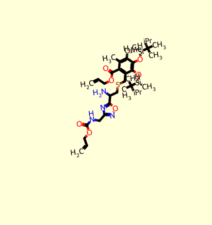 C=CCOC(=O)NCc1noc(C(N)CSCc2c(O[SiH](C)C(C)(C)C(C)C)c(O[SiH](C)C(C)(C)C(C)C)c(OC)c(C)c2C(=O)OCC=C)n1